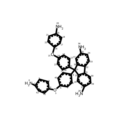 Nc1ccc(Oc2ccc(C3(c4ccc(Oc5ccc(N)cc5)cc4)c4cc(N)ccc4-c4ccc(N)cc43)cc2)cc1